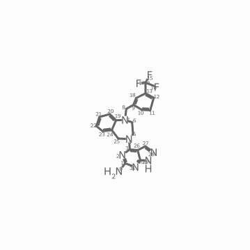 Nc1nc(N2CCN(Cc3cccc(C(F)(F)F)c3)c3ccccc3C2)c2cn[nH]c2n1